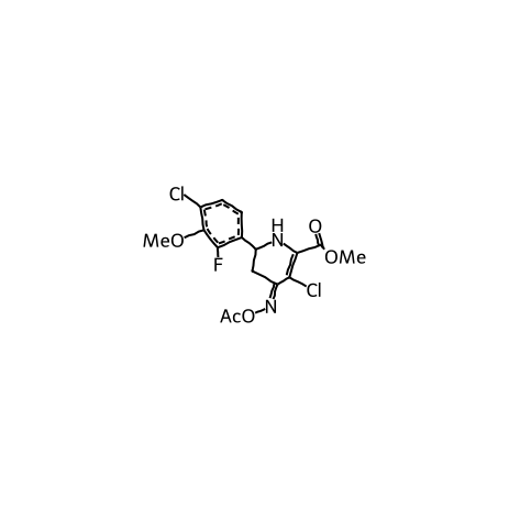 COC(=O)C1=C(Cl)/C(=N/OC(C)=O)CC(c2ccc(Cl)c(OC)c2F)N1